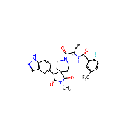 CC(C)[C@@H](NC(=O)c1cc(C(F)(F)F)ccc1F)C(=O)N1CCC2(CC1)C(=O)N(C)C(=O)C2c1ccc2[nH]ncc2c1